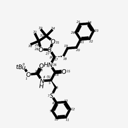 CC(C)(C)OC(=O)N[C@H](CSc1ccccc1)C(=O)N[C@@H](CCCc1ccccc1)B1OC(C)(C)C(C)(C)O1